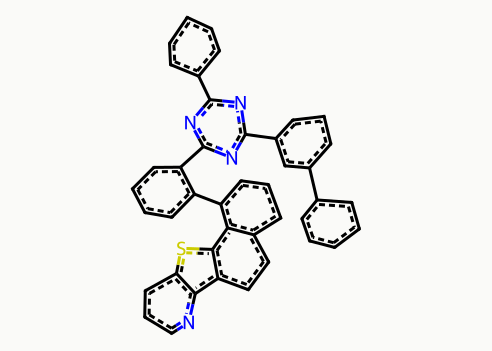 c1ccc(-c2cccc(-c3nc(-c4ccccc4)nc(-c4ccccc4-c4cccc5ccc6c7ncccc7sc6c45)n3)c2)cc1